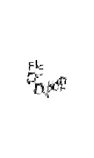 Cc1c(-c2ccc3ncn(CC4(O)COC4)c3c2)cccc1C(F)(F)F